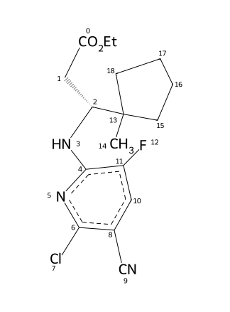 CCOC(=O)C[C@@H](Nc1nc(Cl)c(C#N)cc1F)C1(C)CCCC1